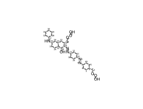 OOOSc1ccc(N=Nc2ccc(N=Nc3c(SOOO)cc4cc(Nc5ccccc5)ccc4c3O)cc2)cc1